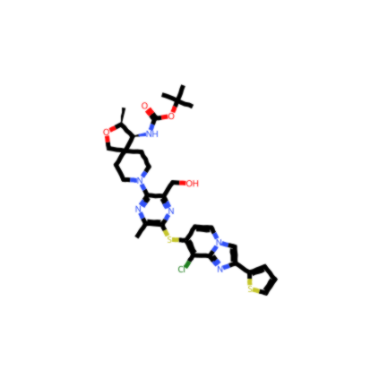 Cc1nc(N2CCC3(CC2)CO[C@@H](C)[C@H]3NC(=O)OC(C)(C)C)c(CO)nc1Sc1ccn2cc(-c3cccs3)nc2c1Cl